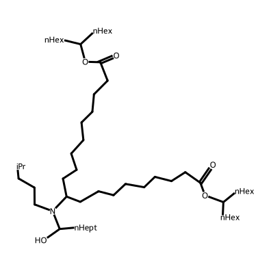 CCCCCCCC(O)N(CCCC(C)C)C(CCCCCCCCC(=O)OC(CCCCCC)CCCCCC)CCCCCCCCC(=O)OC(CCCCCC)CCCCCC